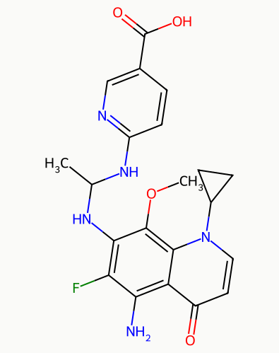 COc1c(NC(C)Nc2ccc(C(=O)O)cn2)c(F)c(N)c2c(=O)ccn(C3CC3)c12